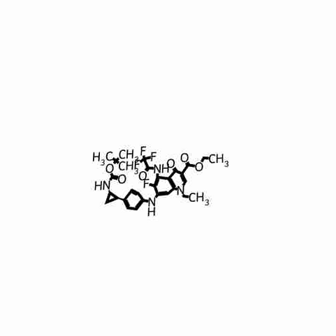 CCOC(=O)c1cn(CC)c2cc(Nc3ccc([C@H]4C[C@@H]4NC(=O)OC(C)(C)C)cc3)c(F)c(NC(=O)C(F)(F)F)c2c1=O